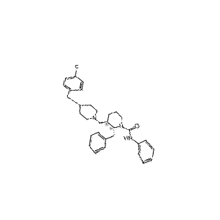 O=C(Nc1ccccc1)N1CCC[C@H](CN2CCC(Cc3ccc(F)cc3)CC2)[C@H]1Cc1ccccc1